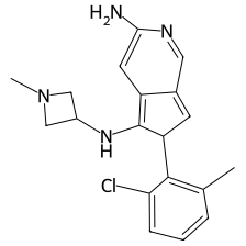 Cc1cccc(Cl)c1C1C=c2cnc(N)cc2=C1NC1CN(C)C1